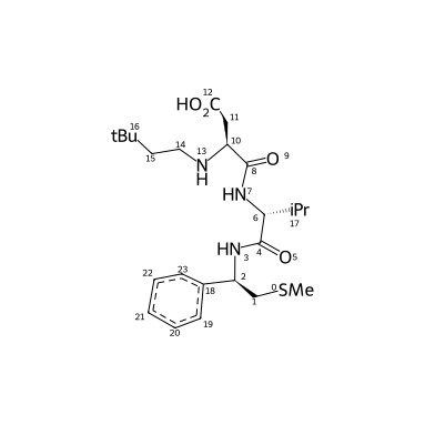 CSC[C@H](NC(=O)[C@H](NC(=O)[C@H](CC(=O)O)NCCC(C)(C)C)C(C)C)c1ccccc1